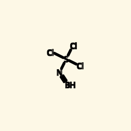 B=NS(Cl)(Cl)Cl